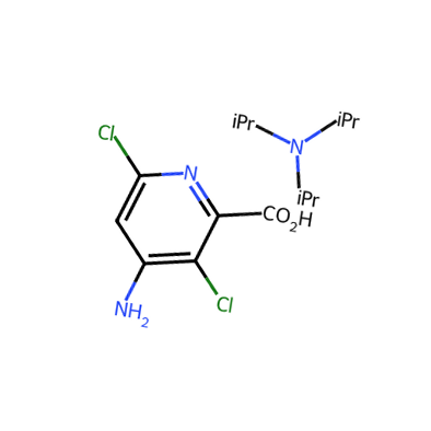 CC(C)N(C(C)C)C(C)C.Nc1cc(Cl)nc(C(=O)O)c1Cl